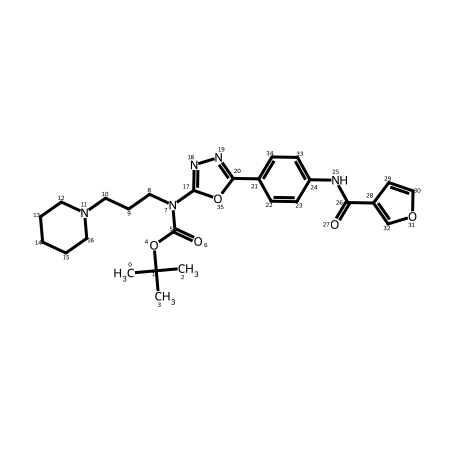 CC(C)(C)OC(=O)N(CCCN1CCCCC1)c1nnc(-c2ccc(NC(=O)c3ccoc3)cc2)o1